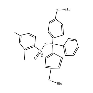 Cc1ccc(S(=O)(=O)OS(c2ccc(OC(C)(C)C)cc2)(c2ccc(OC(C)(C)C)cc2)c2cccnc2)c(C)c1